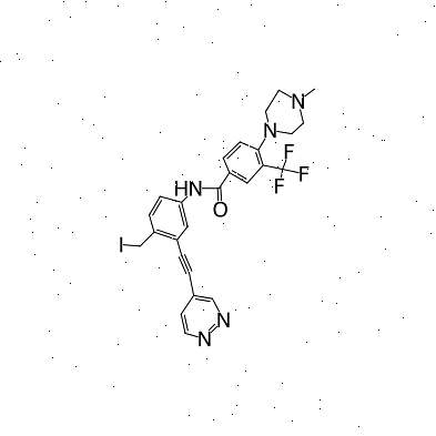 CN1CCN(c2ccc(C(=O)Nc3ccc(CI)c(C#Cc4ccnnc4)c3)cc2C(F)(F)F)CC1